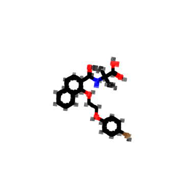 CC(C)(NC(=O)c1ccc2ccccc2c1OCCOc1ccc(Br)cc1)C(=O)O